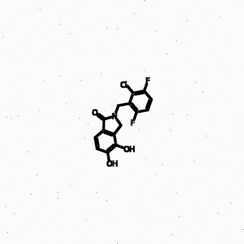 O=C1c2ccc(O)c(O)c2CN1Cc1c(F)ccc(F)c1Cl